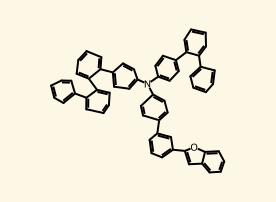 c1ccc(-c2ccccc2-c2ccc(N(c3ccc(-c4cccc(-c5cc6ccccc6o5)c4)cc3)c3ccc(-c4ccccc4-c4ccccc4-c4ccccc4)cc3)cc2)cc1